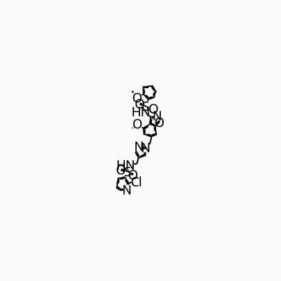 COc1ccccc1S(=O)(=O)Nc1noc2cc(Cn3cc(CNS(=O)(=O)c4cccnc4Cl)cn3)cc(OC)c12